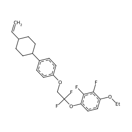 C=CC1CCC(c2ccc(OCC(F)(F)Oc3ccc(OCC)c(F)c3F)cc2)CC1